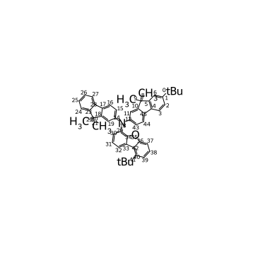 CC(C)(C)c1ccc2c(c1)C(C)(C)c1cc(N(c3ccc4c(c3)C(C)(C)c3ccccc3-4)c3cccc4c3oc3cccc(C(C)(C)C)c34)ccc1-2